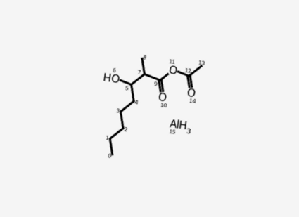 CCCCCC(O)C(C)C(=O)OC(C)=O.[AlH3]